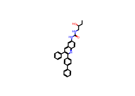 CCC(O)CNC(=O)Nc1ccc2nc(-c3ccc(-c4ccccc4)cc3)c(-c3ccccc3)cc2c1